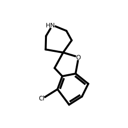 Clc1cccc2c1CC1(CCNCC1)O2